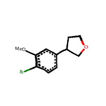 COc1cc(C2CCOC2)ccc1Br